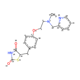 CN(CCOc1ccc(CC2SC(=O)NC2=O)cc1)Cc1ccccn1